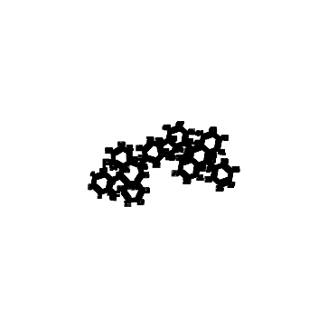 Fc1cccc(F)c1C1=c2ccccc2=CC(c2ccc3c(c2)SC2C(c4c5ccccc5c(-c5cc#ccc5)c5ccccc45)=CC=CC32)c2ccccc21